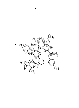 CCCC[C@H](NC(=O)[C@@H](NC(=O)[C@H](C)NC(=O)[C@H](CC(C)C)NC(=O)[C@@H](N)Cc1ccc(O)cc1)[C@@H](C)CC)C(=O)N1CCC[C@H]1C(=O)N[C@@H](C)C(=O)O